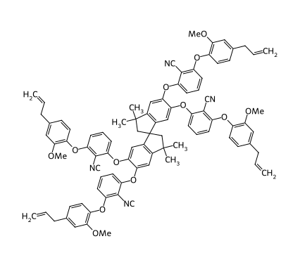 [C-]#[N+]c1c(Oc2ccc(CC=C)cc2OC)cccc1Oc1cc2c(cc1Oc1cccc(Oc3ccc(CC=C)cc3OC)c1[N+]#[C-])C1(CC(C)(C)c3cc(Oc4cccc(Oc5ccc(CC=C)cc5OC)c4C#N)c(Oc4cccc(Oc5ccc(CC=C)cc5OC)c4C#N)cc31)CC2(C)C